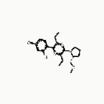 CCc1nc(N2CCC[C@@H]2COC)c(CC)nc1-c1ccc(Cl)cc1Cl